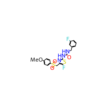 COc1ccc(S(=O)(=O)Cc2nc(NC(=O)NCc3cccc(F)c3)sc2F)cc1